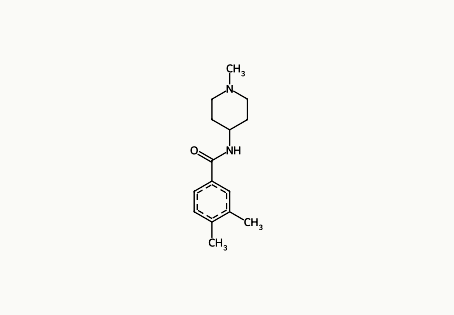 Cc1ccc(C(=O)NC2CCN(C)CC2)cc1C